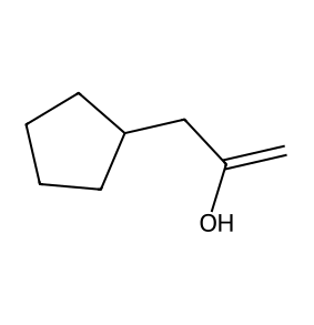 C=C(O)CC1CCCC1